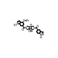 CCn1ccc2c(OC(C)C)cc(C(=O)N3CC4[C@H]5CN(C(=O)c6ccc7[nH]nnc7c6)C[C@H]5C4(O)C3)cc21